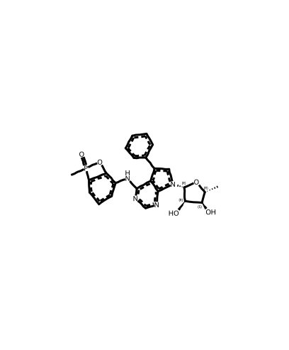 C[C@H]1O[C@@H](n2cc(-c3ccccc3)c3c(Nc4cccc5c4OP5(C)=O)ncnc32)[C@H](O)[C@@H]1O